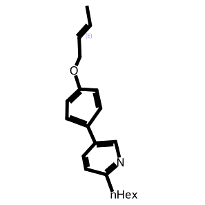 C/C=C/COc1ccc(-c2ccc(CCCCCC)nc2)cc1